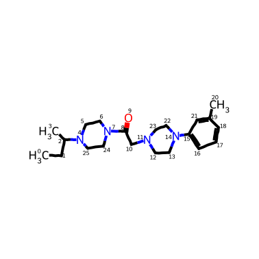 CCC(C)N1CCN(C(=O)CN2CCN(c3cccc(C)c3)CC2)CC1